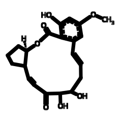 COc1cc(O)c2c(c1)/C=C/CC(O)C(O)C(=O)/C=C\C1CCC[C@H]1OC2=O